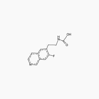 O=C(O)NCCc1cc2ccncc2cc1F